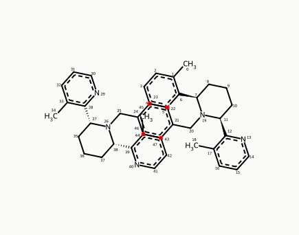 Cc1cccnc1[C@H]1CCC[C@@H](c2ncccc2C)N1Cc1ccc(CN2[C@@H](c3ncccc3C)CCC[C@H]2c2ncccc2C)cc1